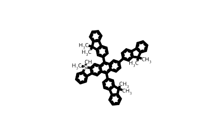 CC1(C)c2ccccc2-c2ccc(-c3ccc4c(-c5ccc6c(c5)C(C)(C)c5ccccc5-6)c5cc6c(cc5c(-c5ccc7c(c5)C(C)(C)c5ccccc5-7)c4c3)[Si](C)(C)c3ccccc3-6)cc21